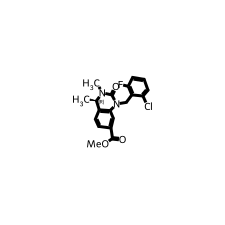 COC(=O)c1ccc2c(c1)N(Cc1c(F)cccc1Cl)C(=O)N(C)[C@@H]2C